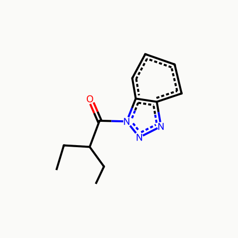 CCC(CC)C(=O)n1nnc2ccccc21